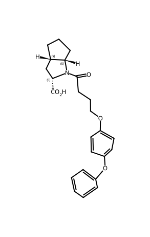 O=C(O)[C@@H]1C[C@@H]2CCC[C@@H]2N1C(=O)CCCOc1ccc(Oc2ccccc2)cc1